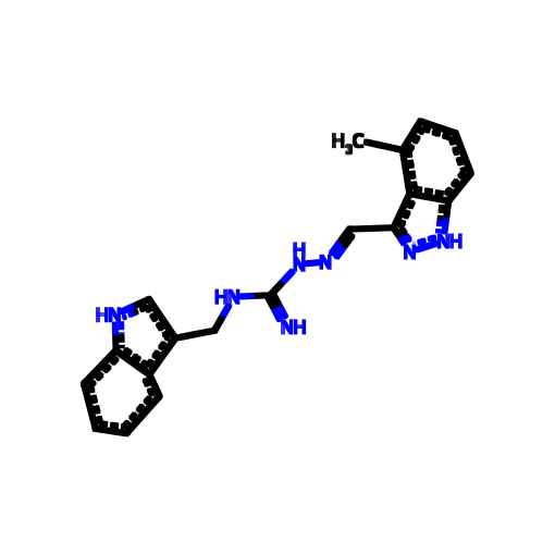 Cc1cccc2[nH]nc(C=NNC(=N)NCc3c[nH]c4ccccc34)c12